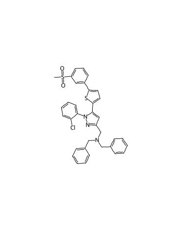 CS(=O)(=O)c1cccc(-c2ccc(-c3cc(CN(Cc4ccccc4)Cc4ccccc4)nn3-c3ccccc3Cl)s2)c1